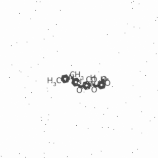 Cc1ccc(N(C)c2ccc(C(=O)c3ccc(NC(=O)c4ccc5c(c4)OCO5)c(C(=O)O)c3)nc2)cc1